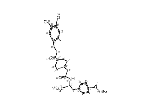 CCCCOc1ccc(C[C@H](NC(=O)CC2CCN(C(=O)CCc3ccc(Cl)c(Cl)c3)CC2)C(=O)O)cc1